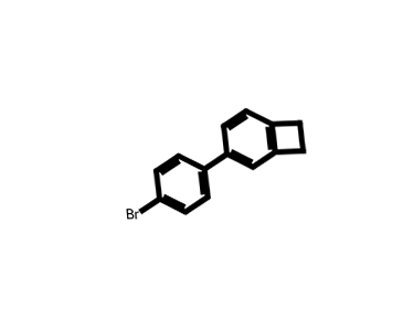 Brc1ccc(-c2ccc3c(c2)CC3)cc1